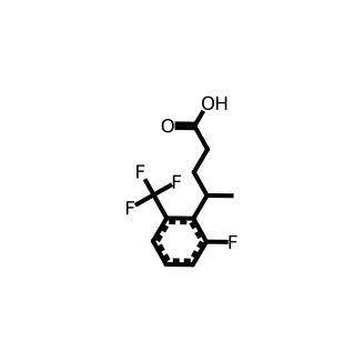 CC(CCC(=O)O)c1c(F)cccc1C(F)(F)F